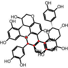 Oc1cc(O)c([C@@H]2c3c(cc(O)c4c3OC(c3ccc(O)c(O)c3)[C@H](O)C4c3c(O)cc(O)c4c3O[C@H](c3ccc(O)c(O)c3)[C@H](O)C4)OC[C@@H]2O)c(OCc2ccc(O)c(O)c2)c1